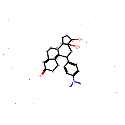 CN(C)c1ccc(C2CC3(O)C(O)CCC3C3CCC4=CC(=O)CCC4=C23)cc1